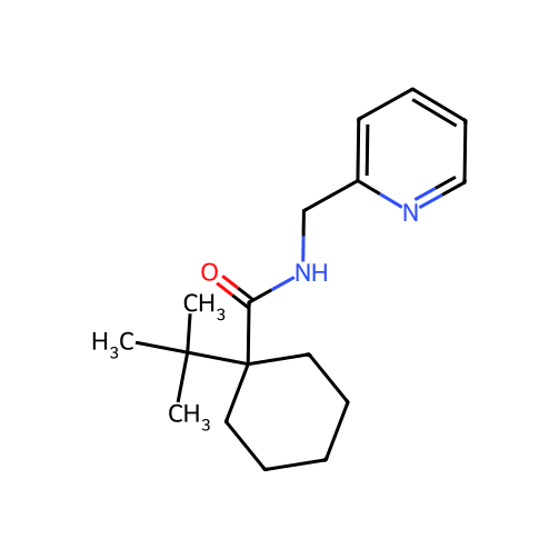 CC(C)(C)C1(C(=O)NCc2ccccn2)CCCCC1